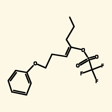 CCC/C(=C\CCOc1ccccc1)OS(=O)(=O)C(F)(F)F